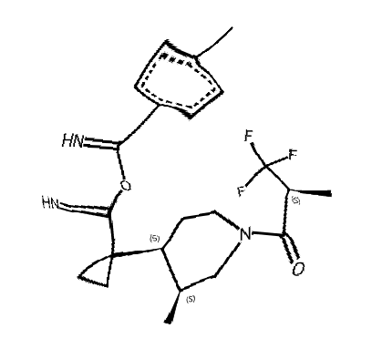 Cc1ccc(C(=N)OC(=N)C2([C@H]3CCN(C(=O)[C@H](C)C(F)(F)F)C[C@H]3C)CC2)cc1